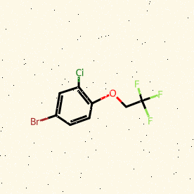 FC(F)(F)COc1ccc(Br)cc1Cl